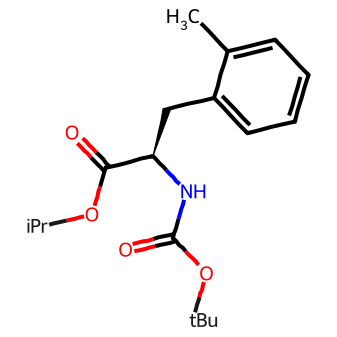 Cc1ccccc1C[C@@H](NC(=O)OC(C)(C)C)C(=O)OC(C)C